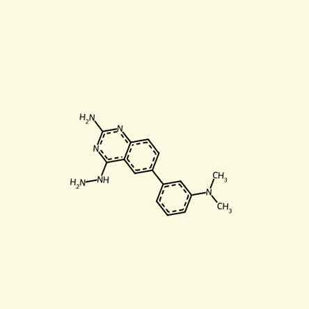 CN(C)c1cccc(-c2ccc3nc(N)nc(NN)c3c2)c1